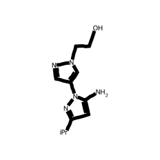 CC(C)c1cc(N)n(-c2cnn(CCO)c2)n1